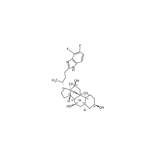 CC(CCc1nc2c(F)c(F)ccc2[nH]1)[C@H]1CC[C@H]2[C@@H]3[C@H](O)C[C@@H]4C[C@H](O)CC[C@]4(C)[C@H]3C[C@H](O)[C@]12C